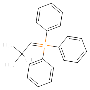 CC(C)(C)C=P(c1ccccc1)(c1ccccc1)c1ccccc1